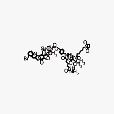 CC[C@@]1(OC(=O)N2CCN(C(=O)OCc3ccc(NC(=O)C(CCCNC(N)=O)NC(=O)C(NC(=O)CCCCCN4C(=O)C=CC4=O)C(C)C)cc3)CC2)C(=O)OCc2c1cc1n(c2=O)Cc2cc3c(Br)cccc3nc2-1